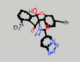 CC(C)c1ccc2c(c1)OC1(O)c3cccc([N+](=O)[O-])c3C(=O)C21NC(=O)c1ccc2nnnn2c1